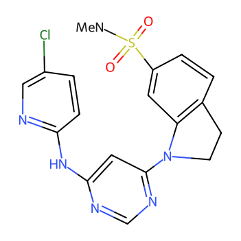 CNS(=O)(=O)c1ccc2c(c1)N(c1cc(Nc3ccc(Cl)cn3)ncn1)CC2